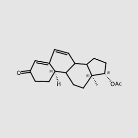 CC(=O)O[C@H]1CCC2C3C=CC4=CC(=O)CC[C@@H]4C3CC[C@@]21C